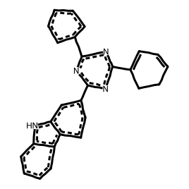 C1=CCCC(c2nc(-c3ccccc3)nc(-c3ccc4c(c3)[nH]c3ccccc34)n2)=C1